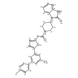 Cc1ccc(-c2cc(Cl)cc(-c3nnc(CC(=O)N4CCC(n5c(=O)[nH]c6ncccc65)CC4)o3)c2)cn1